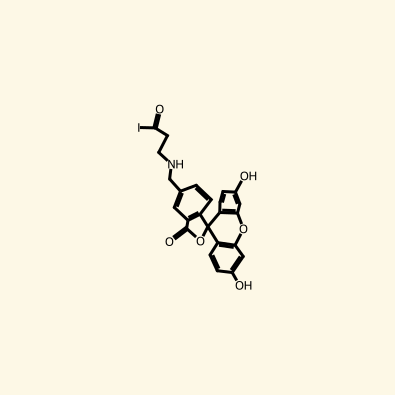 O=C(I)CCNCc1ccc2c(c1)C(=O)OC21c2ccc(O)cc2Oc2cc(O)ccc21